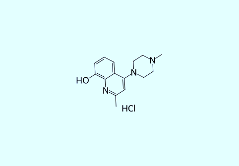 Cc1cc(N2CCN(C)CC2)c2cccc(O)c2n1.Cl